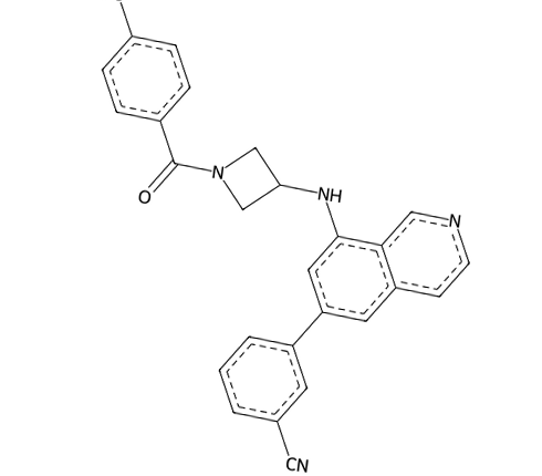 N#Cc1ccc(C(=O)N2CC(Nc3cc(-c4cccc(C#N)c4)cc4ccncc34)C2)cc1